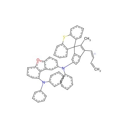 C=C/C=C\C1=C(C)C2(c3ccccc3Sc3ccccc32)c2cc(N(c3ccccc3)c3ccc4oc5cccc(N(c6ccccc6)c6ccccc6)c5c4c3)ccc21